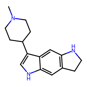 CN1CCC(c2c[nH]c3cc4c(cc23)NCC4)CC1